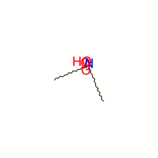 CCCCCCCCCCCCCCCC(=O)C(C)(C(=O)CCCCCCCCCCCCCCC)N(O)CC